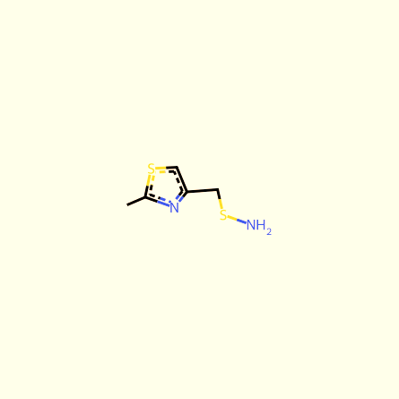 Cc1nc(CSN)cs1